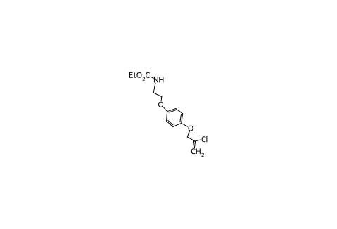 C=C(Cl)COc1ccc(OCCNC(=O)OCC)cc1